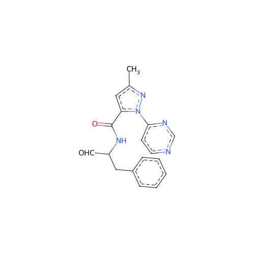 Cc1cc(C(=O)NC(C=O)Cc2ccccc2)n(-c2ccncn2)n1